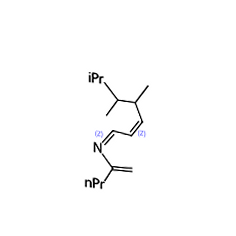 C=C(CCC)/N=C\C=C/C(C)C(C)C(C)C